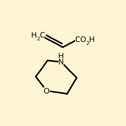 C1COCCN1.C=CC(=O)O